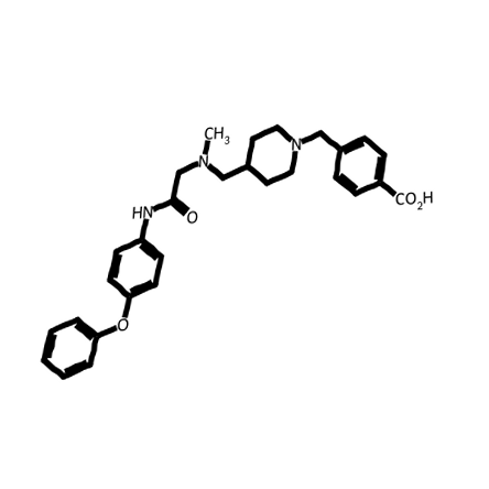 CN(CC(=O)Nc1ccc(Oc2ccccc2)cc1)CC1CCN(Cc2ccc(C(=O)O)cc2)CC1